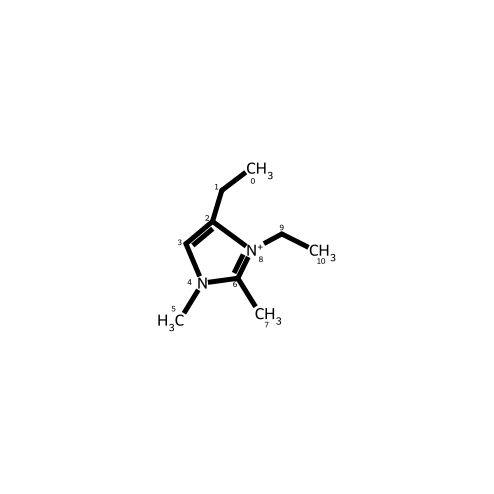 CCc1cn(C)c(C)[n+]1CC